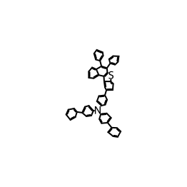 c1ccc(-c2ccc(N(c3ccc(-c4ccccc4)cc3)c3ccc(-c4ccc5sc6c(-c7ccccc7)c(-c7ccccc7)c7ccccc7c6c5c4)cc3)cc2)cc1